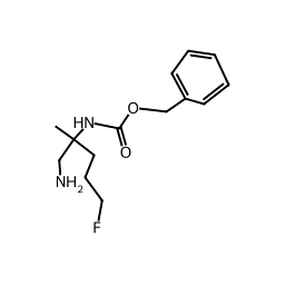 CC(CN)(CCCF)NC(=O)OCc1ccccc1